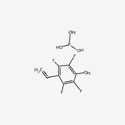 C=Cc1c(F)c(F)c(O)c(F)c1F.OP(O)O